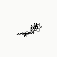 CCCCCOC(=O)OCC1CC(F)C(n2cnc3c(N)nc(Cl)nc32)O1